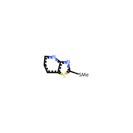 [CH2]Sc1nc2ncccc2s1